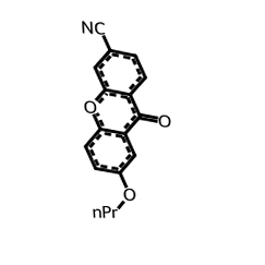 CCCOc1ccc2oc3cc(C#N)ccc3c(=O)c2c1